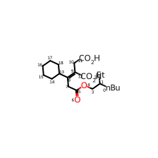 CCCCC(CC)COC(=O)CC(=C(CC(=O)O)C(=O)O)C1CCCCC1